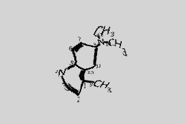 Cc1ccnc2ccc(N(C)C)cc12